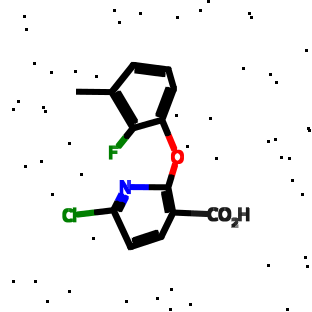 Cc1cccc(Oc2nc(Cl)ccc2C(=O)O)c1F